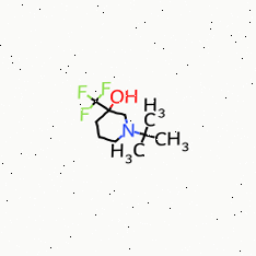 CC(C)(C)N1CCCC(O)(C(F)(F)F)C1